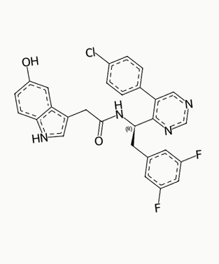 O=C(Cc1c[nH]c2ccc(O)cc12)N[C@H](Cc1cc(F)cc(F)c1)c1ncncc1-c1ccc(Cl)cc1